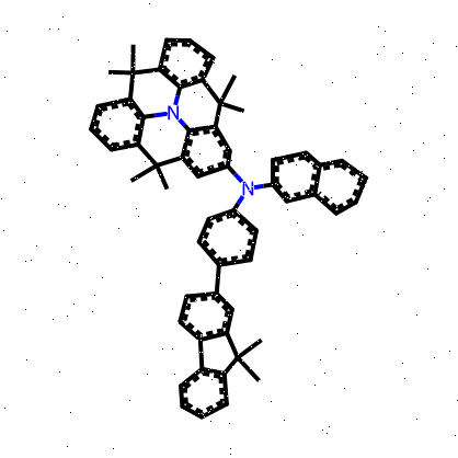 CC1(C)c2ccccc2-c2ccc(-c3ccc(N(c4cc5c6c(c4)C(C)(C)c4cccc7c4N6c4c(cccc4C5(C)C)C7(C)C)c4ccc5ccccc5c4)cc3)cc21